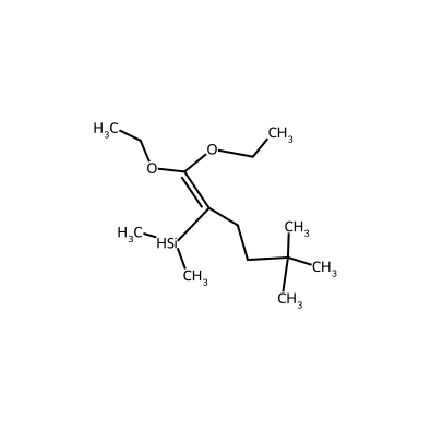 CCOC(OCC)=C(CCC(C)(C)C)[SiH](C)C